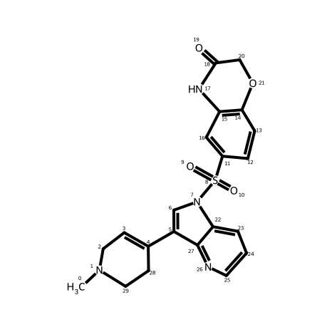 CN1CC=C(c2cn(S(=O)(=O)c3ccc4c(c3)NC(=O)CO4)c3cccnc23)CC1